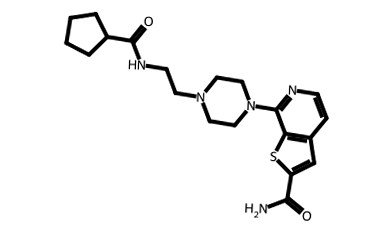 NC(=O)c1cc2ccnc(N3CCN(CCNC(=O)C4CCCC4)CC3)c2s1